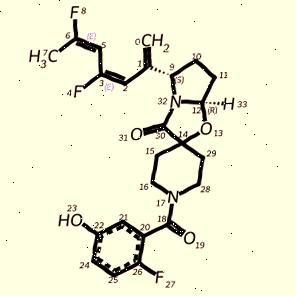 C=C(/C=C(F)\C=C(/C)F)[C@@H]1CC[C@H]2OC3(CCN(C(=O)c4cc(O)ccc4F)CC3)C(=O)N21